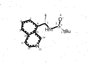 C[C@H](N[S@+]([O-])C(C)(C)C)c1cccc2ccncc12